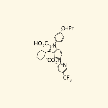 CC(C)Oc1ccc(-n2c(C(=O)O)c([C@@H]3CCCC[C@H]3C(=O)O)c3cc(-c4ccc(C(F)(F)F)cn4)ccc32)cc1